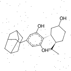 C=C(C)[C@@H]1CCC(O)C[C@H]1c1c(O)cc(C23CC4CC(CC(C4)C2)C3)cc1O